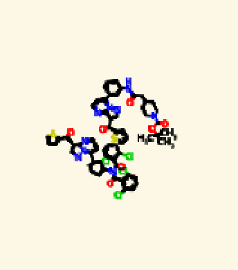 CC(C)(C)OC(=O)N1CCC(CC(=O)Nc2cccc(-c3ccnc4c(C(=O)c5cccs5)cnn34)c2)CC1.O=C(c1cccs1)c1cnn2c(-c3cccc(N(C(=O)c4c(Cl)cccc4Cl)C(=O)c4c(Cl)cccc4Cl)c3)ccnc12